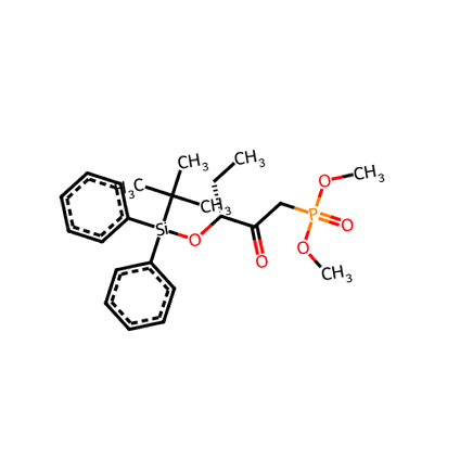 CC[C@@H](O[Si](c1ccccc1)(c1ccccc1)C(C)(C)C)C(=O)CP(=O)(OC)OC